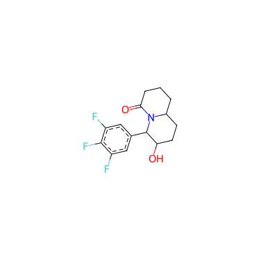 O=C1CCCC2CCC(O)C(c3cc(F)c(F)c(F)c3)N12